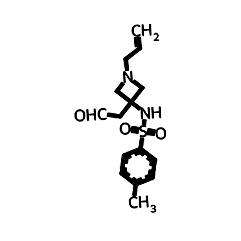 C=CCN1CC(CC=O)(NS(=O)(=O)c2ccc(C)cc2)C1